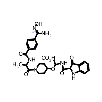 CC(NC(=O)c1ccc(/C(N)=N/O)cc1)C(=O)N1CCC(OC(NC(=O)C2Nc3ccccc3C2=O)C(=O)O)CC1